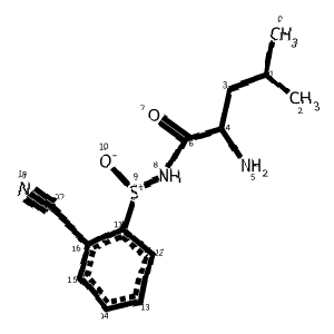 CC(C)CC(N)C(=O)N[S+]([O-])c1ccccc1C#N